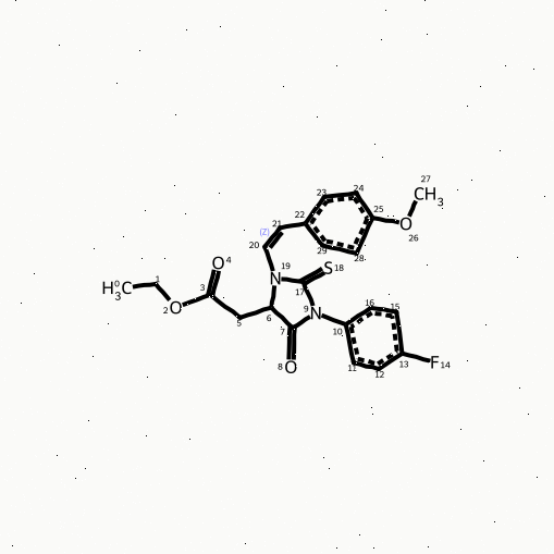 CCOC(=O)CC1C(=O)N(c2ccc(F)cc2)C(=S)N1/C=C\c1ccc(OC)cc1